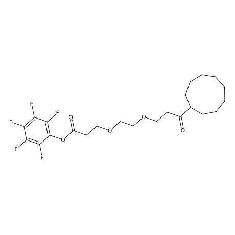 O=C(CCOCCOCCC(=O)C1CCCCCCCC1)Oc1c(F)c(F)c(F)c(F)c1F